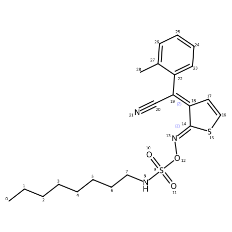 CCCCCCCCNS(=O)(=O)O/N=C1\SC=C\C1=C(\C#N)c1ccccc1C